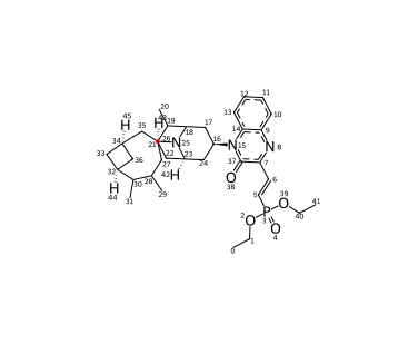 CCOP(=O)(/C=C/c1nc2ccccc2n([C@@H]2CC3C(C)CC[C@H](C2)N3[C@H]2CC(C)C(C)[C@H]3C[C@@H](C2)C3)c1=O)OCC